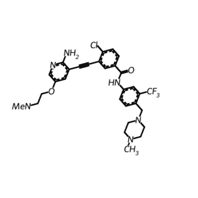 CNCCOc1cnc(N)c(C#Cc2cc(C(=O)Nc3ccc(CN4CCN(C)CC4)c(C(F)(F)F)c3)ccc2Cl)c1